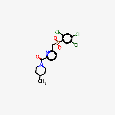 CC1CCN(C(=O)c2cccc(CS(=O)(=O)c3cc(Cl)c(Cl)cc3Cl)n2)CC1